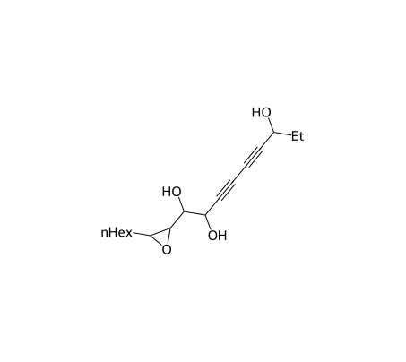 CCCCCCC1OC1C(O)C(O)C#CC#CC(O)CC